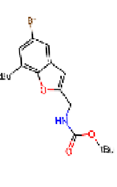 CC(C)(C)OC(=O)NCc1cc2cc(Br)cc(C(C)(C)C)c2o1